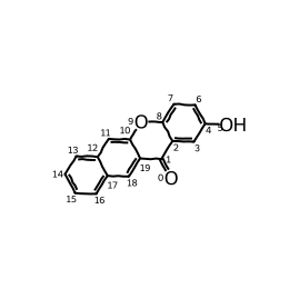 O=c1c2cc(O)ccc2oc2cc3ccccc3cc12